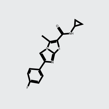 Cc1c(C(=O)NC2CC2)sc2nc(-c3ccc(F)cc3)cn12